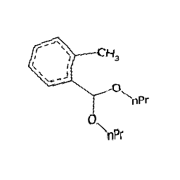 CCCOC(OCCC)c1ccccc1C